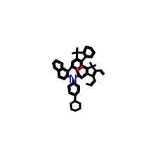 C=CC1=C(/C=C\C)c2cc(N(c3ccc(C4CCCCC4)cc3)c3ccc4ccccc4c3-c3ccc4c(c3)C(C)(C)c3ccccc3-4)ccc2C1(C)C